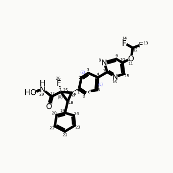 C=C(/C=C\C(=C/C)c1ncc(OC(F)F)cn1)[C@@H]1C(c2ccccc2)[C@@]1(F)C(=O)NO